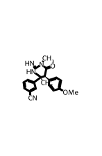 COc1ccc([C@@H]2C(=O)N(C)C(=N)N[C@]2(C)c2cccc(C#N)c2)cc1